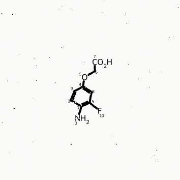 Nc1ccc(OCC(=O)O)cc1F